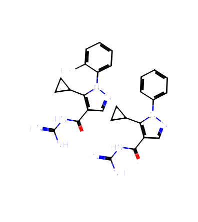 N=C(N)NC(=O)c1cnn(-c2ccccc2)c1C1CC1.N=C(N)NC(=O)c1cnn(-c2ccccc2C(F)(F)F)c1C1CC1